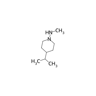 CNN1CCC(C(C)C)CC1